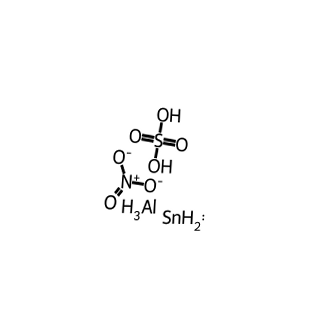 O=S(=O)(O)O.O=[N+]([O-])[O-].[AlH3].[SnH2]